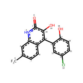 O=c1[nH]c2cc(C(F)(F)F)ccc2c(-c2cc(Cl)ccc2O)c1O